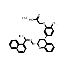 Cc1ccc([C@@H]2C[C@H](CNC(C)c3cccc4ccccc34)Oc3ccccc32)cc1OCC(=O)O.Cl